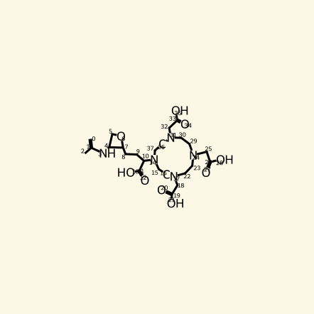 C=C(C)NC1COC1CCC(C(=O)O)N1CCN(CC(=O)O)CCN(CC(=O)O)CCN(CC(=O)O)CC1